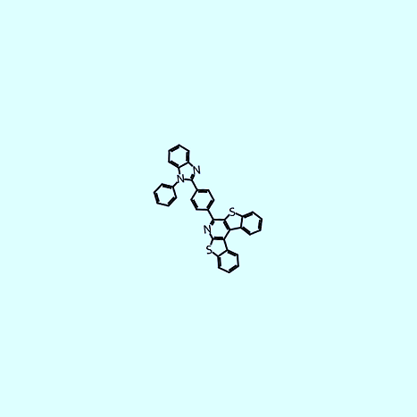 c1ccc(-n2c(-c3ccc(-c4nc5sc6ccccc6c5c5c4sc4ccccc45)cc3)nc3ccccc32)cc1